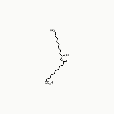 O=C(O)CCCCCCCCC(=O)OC(O)CCCCCCCCO